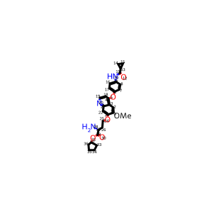 COc1cc2c(Oc3ccc(NC(=O)C4CC4)cc3)ccnc2cc1OCC[C@H](N)C(=O)OC1CCCC1